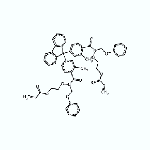 C=CC(=O)OCCON(COc1ccccc1)C(=O)c1ccc(C2(c3ccc(C(=O)N(COc4ccccc4)OCCOC(=O)C=C)c(C)c3)c3ccccc3-c3ccccc32)cc1C